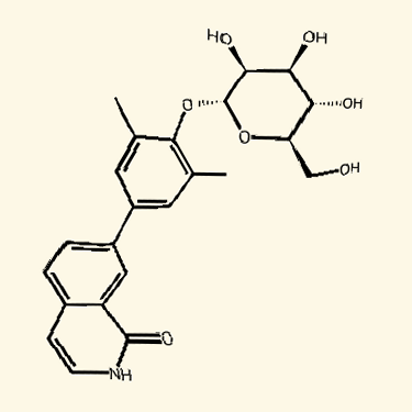 Cc1cc(-c2ccc3cc[nH]c(=O)c3c2)cc(C)c1O[C@H]1O[C@H](CO)[C@@H](O)[C@H](O)[C@@H]1O